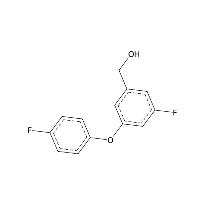 OCc1cc(F)cc(Oc2ccc(F)cc2)c1